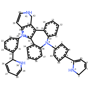 C1=CCNC(c2ccc(N3c4ccccc4-c4c5c(n(-c6cccc(C7C=CC=CN7)c6)c4-c4ccccc43)C=CNC5)cc2)=C1